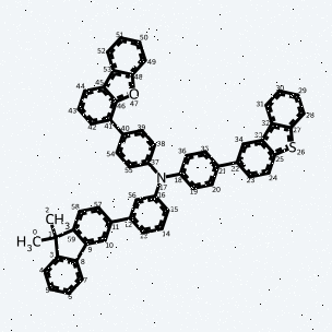 CC1(C)c2ccccc2-c2cc(-c3cccc(N(c4ccc(-c5ccc6sc7ccccc7c6c5)cc4)c4ccc(-c5cccc6c5oc5ccccc56)cc4)c3)ccc21